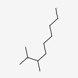 [CH2]CCCCCC(C)[C](C)C